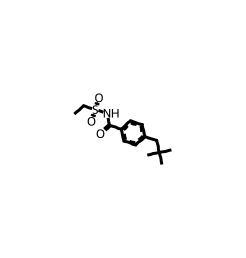 CCS(=O)(=O)NC(=O)c1ccc(CC(C)(C)C)cc1